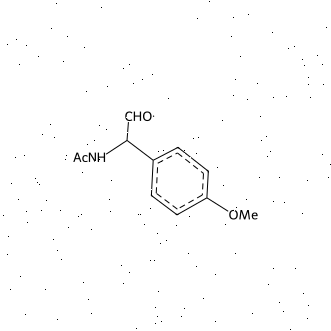 COc1ccc(C([C]=O)NC(C)=O)cc1